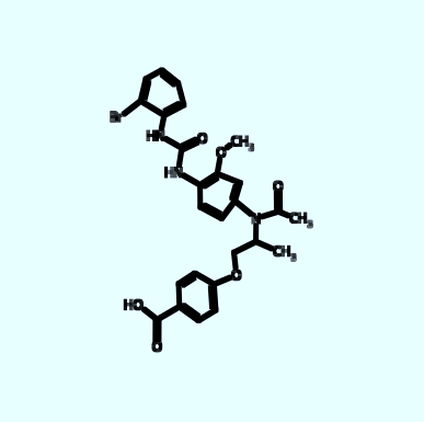 COc1cc(N(C(C)=O)C(C)COc2ccc(C(=O)O)cc2)ccc1NC(=O)Nc1ccccc1Br